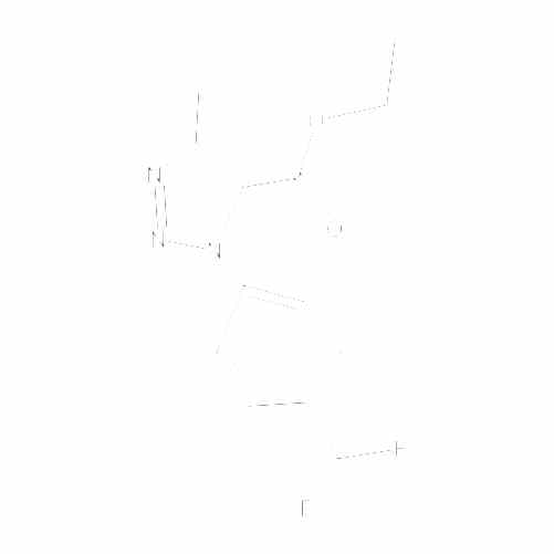 CCOC(=O)c1c(C)nnn1-c1ccc(C(F)F)cc1